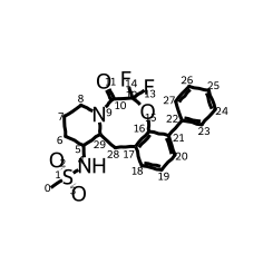 CS(=O)(=O)NC1CCCN2C(=O)C(F)(F)Oc3c(cccc3-c3ccccc3)CC12